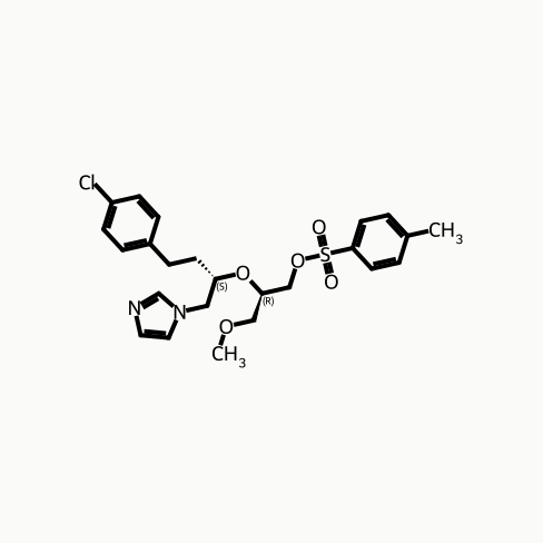 COC[C@H](COS(=O)(=O)c1ccc(C)cc1)O[C@@H](CCc1ccc(Cl)cc1)Cn1ccnc1